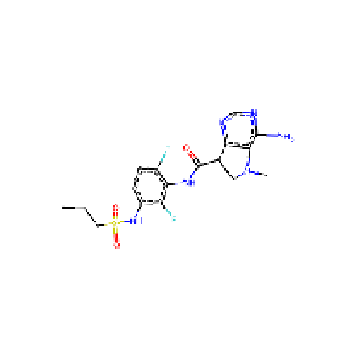 CCCS(=O)(=O)Nc1ccc(F)c(NC(=O)C2CN(C)c3c(N)ncnc32)c1F